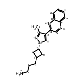 Cc1nn([C@H]2C[C@H](CCCN)C2)cc1-c1cnc2ccccc2n1